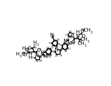 COC(=O)N[C@H](C(=O)N1CCC[C@H]1c1nc2cc([C@H]3CC[C@H](c4ccc5nc([C@@H]6CCCN6C(=O)[C@@H](NC(=O)OC)C(C)C)[nH]c5c4)N3c3ccc(C#N)cc3)ccc2[nH]1)C(C)C